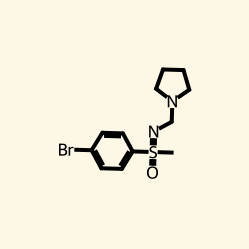 CS(=O)(=NCN1CCCC1)c1ccc(Br)cc1